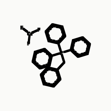 [F][Cu-]([F])[F].c1ccc(C[P+](c2ccccc2)(c2ccccc2)c2ccccc2)cc1